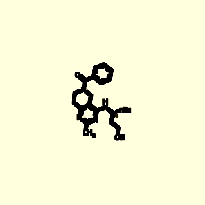 CCCC[C@@H](CCO)Nc1nc(C)nc2c1CN(C(=O)c1ccccc1)CC2